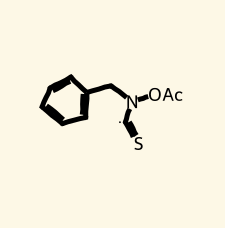 CC(=O)ON([C]=S)Cc1ccccc1